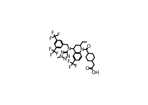 CCC1CC(N(Cc2cc(C(F)(F)F)cc(C(F)(F)F)c2)c2nnn(C)n2)c2cc(C(F)(F)F)ccc2N1C(=O)C1CCC(CC(=O)O)CC1